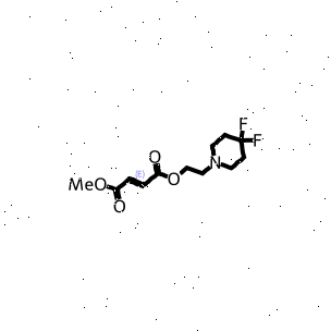 COC(=O)/C=C/C(=O)OCCN1CCC(F)(F)CC1